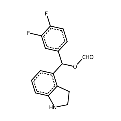 O=COC(c1ccc(F)c(F)c1)c1cccc2c1CCN2